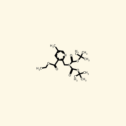 CCOC(=O)c1cc(C)cnc1CN(C(=O)OC(C)(C)C)C(=O)OC(C)(C)C